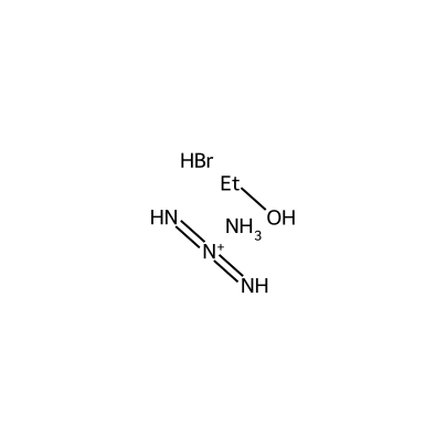 Br.CCO.N.N=[N+]=N